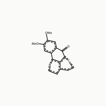 COc1cc2c(cc1OC)-c1nccc3cccc(c13)C2=O